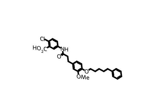 COc1cc(CCC(=O)Nc2ccc(Cl)c(C(=O)O)c2)ccc1OCCCCCc1ccccc1